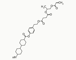 C=CC(=O)OCC(C)OC(=O)CCC(=O)OCCc1ccc(OC(=O)C2CCC(C3CCC(CCC)CC3)CC2)cc1